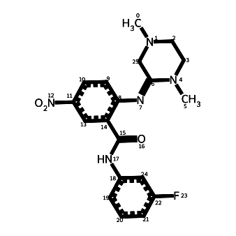 CN1CCN(C)C(=Nc2ccc([N+](=O)[O-])cc2C(=O)Nc2cccc(F)c2)C1